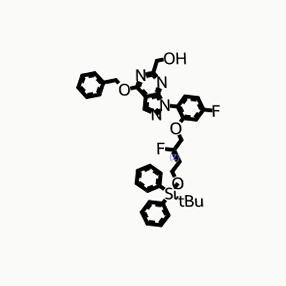 CC(C)(C)[Si](OC/C=C(\F)COc1cc(F)ccc1-n1ncc2c(OCc3ccccc3)nc(CO)nc21)(c1ccccc1)c1ccccc1